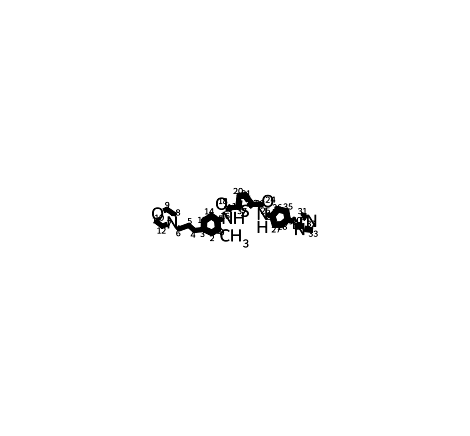 Cc1cc(CCCN2CCOCC2)ccc1NC(=O)c1ccc(C(=O)Nc2ccc(-n3cncn3)cc2)s1